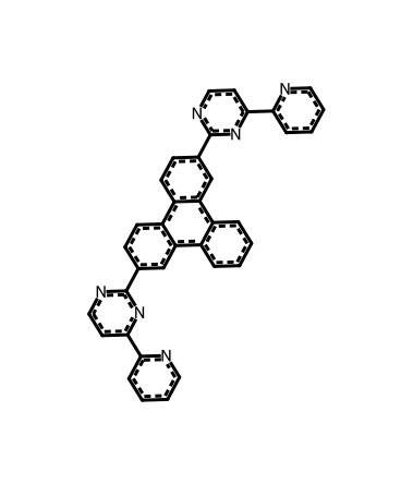 c1ccc(-c2ccnc(-c3ccc4c5ccc(-c6nccc(-c7ccccn7)n6)cc5c5ccccc5c4c3)n2)nc1